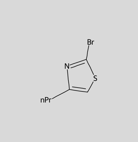 [CH2]CCc1csc(Br)n1